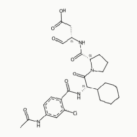 CC(=O)Nc1ccc(C(=O)N[C@H](C(=O)N2CCC[C@H]2C(=O)N[C@H](C=O)CC(=O)O)C2CCCCC2)c(Cl)c1